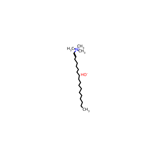 CCCCCCCCCCCCCCCCC=C[N+](C)(C)C.[OH-]